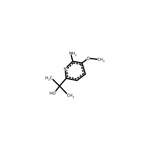 COc1ccc(C(C)(C)O)nc1N